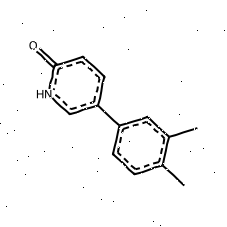 Cc1ccc(-c2ccc(=O)[nH]c2)cc1C